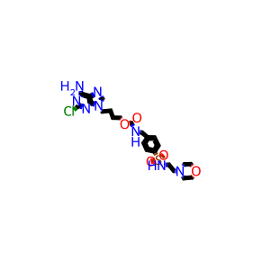 Nc1nc(Cl)nc2c1ncn2CCCCOC(=O)NCc1ccc(S(=O)(=O)NCCN2CCOCC2)cc1